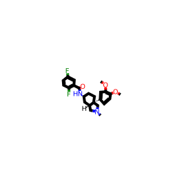 COc1ccc([C@@]23CC[C@@H](NC(=O)c4cc(F)ccc4F)C[C@@H]2CN(C)C3)cc1OC